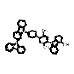 N#Cc1cc(-n2c3ccccc3c3c(C#N)cccc32)c(C#N)cc1-c1ccc(-n2c3ccccc3c3ccc(-n4c5ccccc5c5ccccc54)cc32)cc1